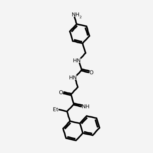 CCC(C(=N)C(=O)CNC(=O)NCc1ccc(N)cc1)c1cccc2ccccc12